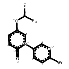 CC(C)c1ccc(-n2cc(OC(F)F)ccc2=O)cn1